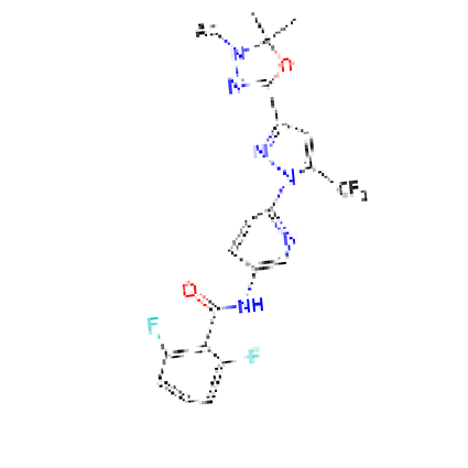 CC(=O)N1N=C(c2cc(C(F)(F)F)n(-c3ccc(NC(=O)c4c(F)cccc4F)cn3)n2)OC1(C)C